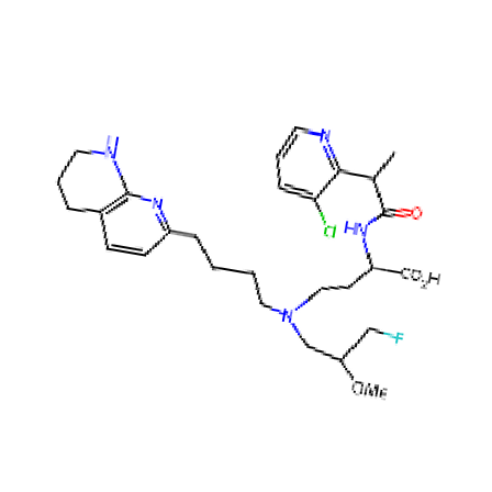 COC(CF)CN(CCCCc1ccc2c(n1)NCCC2)CCC(NC(=O)C(C)c1ncccc1Cl)C(=O)O